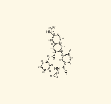 Cc1ccc(C(=O)NC2CC2)cc1-c1cc2cnc(NC(C)C)nc2cc1OCc1ccccc1